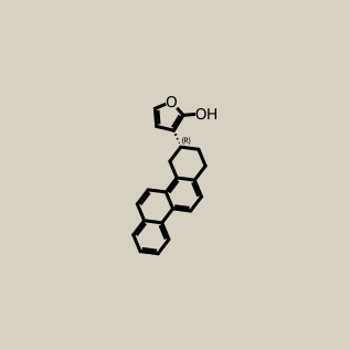 Oc1occc1[C@@H]1CCc2ccc3c(ccc4ccccc43)c2C1